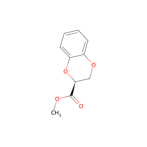 COC(=O)[C@@H]1COc2ccccc2O1